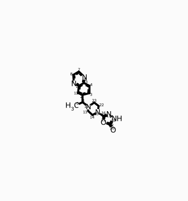 CC(c1ccc2nccnc2c1)N1CCN(c2n[nH]c(=O)o2)CC1